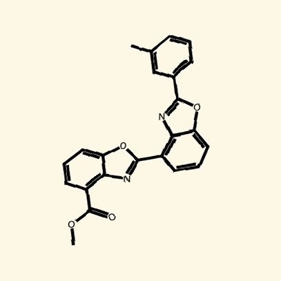 COC(=O)c1cccc2oc(-c3cccc4oc(-c5cccc(C)c5)nc34)nc12